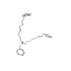 CCCCCCCCCCCCCCCCCCP(CCCCCCCCCCCCCCCCCC)Cc1ccccc1